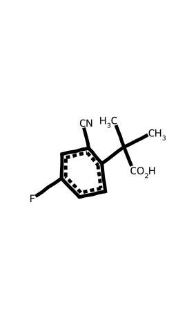 CC(C)(C(=O)O)c1ccc(F)cc1C#N